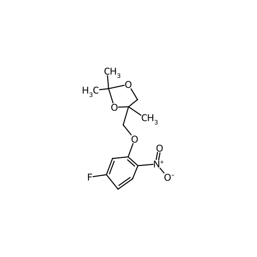 CC1(COc2cc(F)ccc2[N+](=O)[O-])COC(C)(C)O1